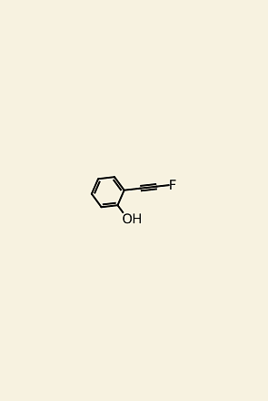 Oc1ccccc1C#CF